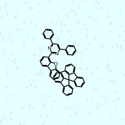 c1ccc(-c2cc(-c3ccccc3)nc(-c3cccc4c3oc3c(-c5cccc6c5C5(c7ccccc7-c7ccccc75)c5ccccc5-6)cccc34)n2)cc1